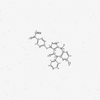 COC(=O)c1ccc(Cn2cnc3c2C(=O)N(c2ccccc2)c2cc(Cl)ccc2N3C)cc1